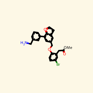 COC(=O)Cc1cc(Br)ccc1OCc1cc(-c2cccc(CN)c2)c2occc2c1